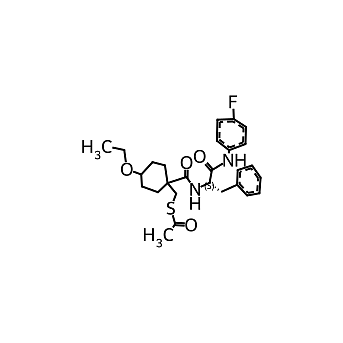 CCOC1CCC(CSC(C)=O)(C(=O)N[C@@H](Cc2ccccc2)C(=O)Nc2ccc(F)cc2)CC1